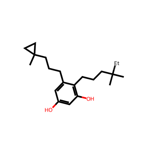 CCC(C)(C)CCCc1c(O)cc(O)cc1CCCC1(C)CC1